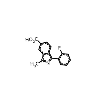 Cn1nc(-c2ccccc2F)c2ccc(C(=O)O)cc21